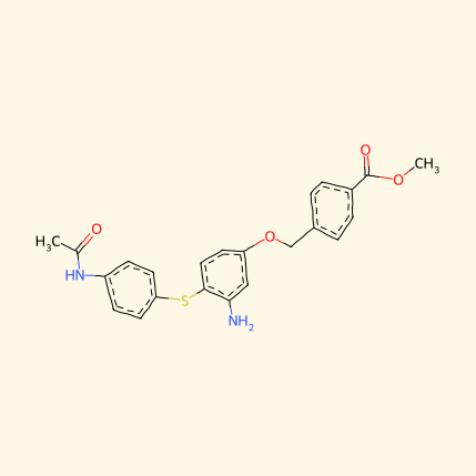 COC(=O)c1ccc(COc2ccc(Sc3ccc(NC(C)=O)cc3)c(N)c2)cc1